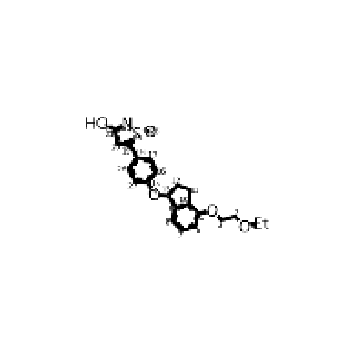 CCOCCOc1cccc2c1CCC2Oc1ccc(-c2cc(O)n[s+]2[O-])cc1